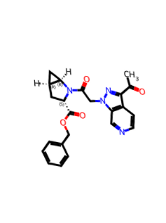 CC(=O)c1nn(CC(=O)N2[C@@H]3C[C@@H]3C[C@H]2C(=O)OCc2ccccc2)c2cnccc12